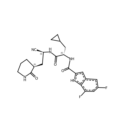 N#C[C@H](C[C@@H]1CCCNC1=O)NC(=O)[C@H](CC1CC1)NC(=O)c1cc2cc(F)cc(F)c2[nH]1